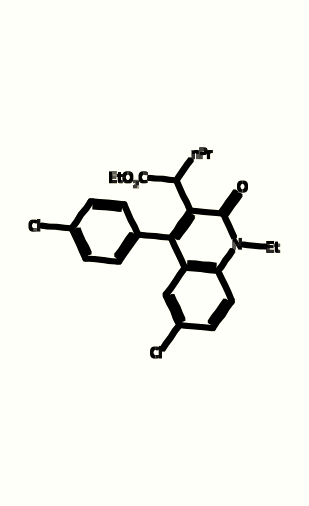 CCCC(C(=O)OCC)c1c(-c2ccc(Cl)cc2)c2cc(Cl)ccc2n(CC)c1=O